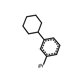 CC(C)c1[c]c(C2CCCCC2)ccc1